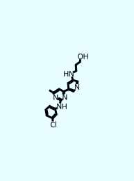 Cc1cc(-c2cncc(NCCCO)c2)nc(Nc2cccc(Cl)c2)n1